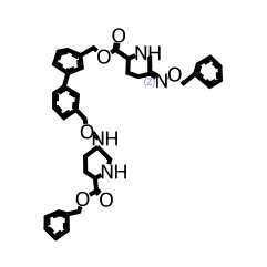 O=C(OCc1cccc(-c2cccc(CONC3CCC(C(=O)OCc4ccccc4)NC3)c2)c1)C1CC/C(=N/OCc2ccccc2)CN1